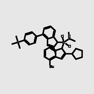 CCC(C)c1cccc2c1C=C(C1CCCC1)[CH]2[Zr]([Cl])([Cl])([CH]1C(C)=Cc2c(-c3ccc([Si](C)(C)C)cc3)cccc21)[SiH](C)C